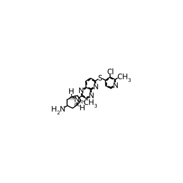 Cc1nccc(Sc2ccc3nc(N4[C@@H]5CC(N)C[C@@H]4[C@@H](C)C5)cnc3n2)c1Cl